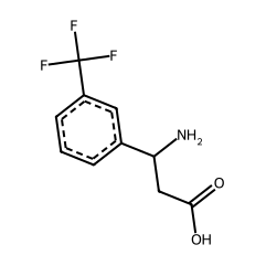 NC(CC(=O)O)c1cccc(C(F)(F)F)c1